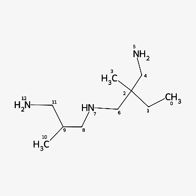 CCC(C)(CN)CNCC(C)CN